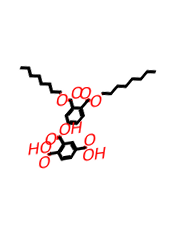 CCCCCCCCOC(=O)c1ccccc1C(=O)OCCCCCCCC.O=C(O)c1ccc(C(=O)O)c(C(=O)O)c1